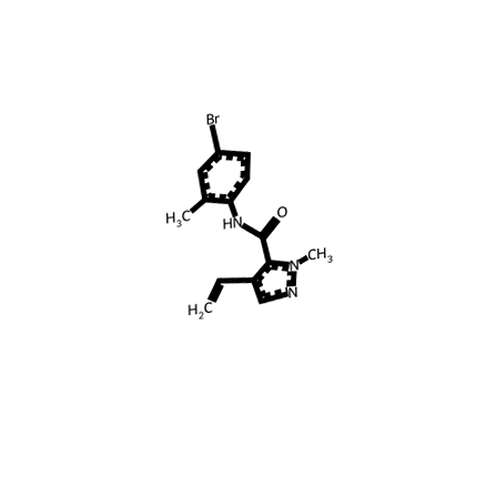 C=Cc1cnn(C)c1C(=O)Nc1ccc(Br)cc1C